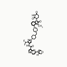 Cn1c(=O)n(C2CCC(=O)NC2=O)c2cccc(N3CCN(CC4CCC(n5cc(NC(=O)c6cnn7ccc(N8CC9C[C@@H]8CO9)nc67)c(C(F)F)n5)CC4)CC3)c21